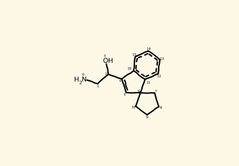 NCC(O)C1=CC2(CCCC2)c2ccccc21